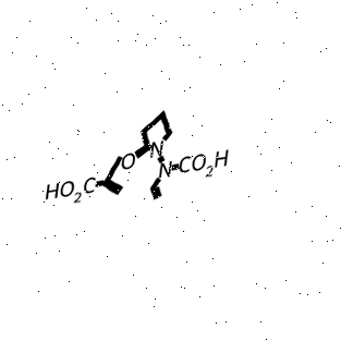 C=C(C)C(=O)O.C=CN(C(=O)O)N1CCCC1=O